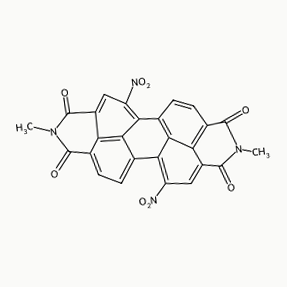 CN1C(=O)c2ccc3c4c([N+](=O)[O-])cc5c6c(ccc(c7c([N+](=O)[O-])cc(c2c37)C1=O)c64)C(=O)N(C)C5=O